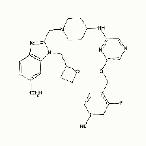 N#Cc1ccc(COc2cncc(NC3CCN(Cc4nc5ccc(C(=O)O)cc5n4CC4CCO4)CC3)n2)c(F)c1